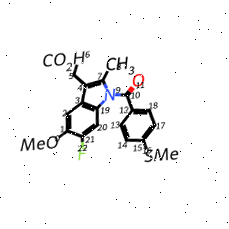 COc1cc2c(CC(=O)O)c(C)n(C(=O)c3ccc(SC)cc3)c2cc1F